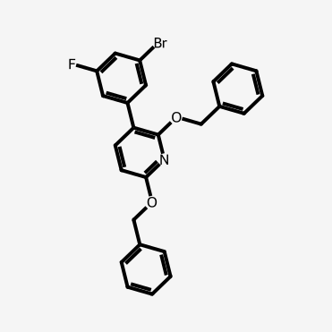 Fc1cc(Br)cc(-c2ccc(OCc3ccccc3)nc2OCc2ccccc2)c1